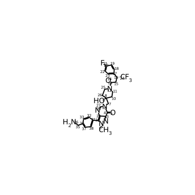 Cn1nc2c(=O)n(CC3(O)CCN(C(=O)C[C@H](c4ccc(F)cc4)C(F)(F)F)CC3)cnc2c1-c1ccc(CN)cc1